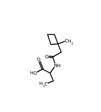 CCC(NC(=O)CC1(C)CCC1)C(=O)O